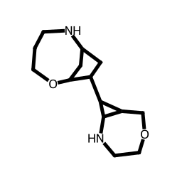 C1CNC2CC(OC1)C(C1C3COCCNC31)C2